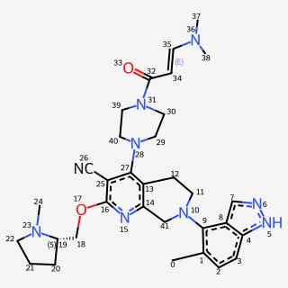 Cc1ccc2[nH]ncc2c1N1CCc2c(nc(OC[C@@H]3CCCN3C)c(C#N)c2N2CCN(C(=O)/C=C/N(C)C)CC2)C1